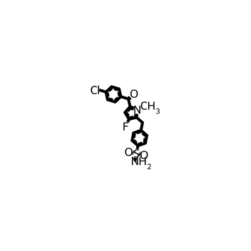 Cn1c(C(=O)c2ccc(Cl)cc2)cc(F)c1Cc1ccc(S(N)(=O)=O)cc1